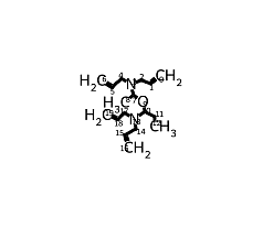 C=CCN(CC=C)C(C)OC(CC)N(CC=C)CC=C